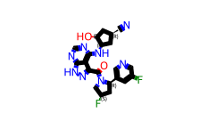 N#C[C@H]1C[C@@H](O)[C@H](Nc2ncnc3[nH]nc(C(=O)N4C[C@@H](F)C[C@@H]4c4cncc(F)c4)c23)C1